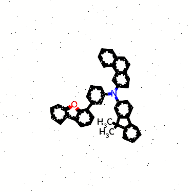 CC1(C)c2ccccc2-c2ccc(N(c3cccc(-c4cccc5c4oc4ccccc45)c3)c3ccc4ccc5ccccc5c4c3)cc21